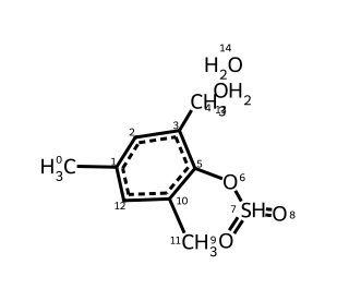 Cc1cc(C)c(O[SH](=O)=O)c(C)c1.O.O